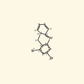 Brc1cc(Br)c2c(c1)N=C1C=CC=CN1C2